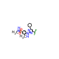 CNS(=O)(=O)c1ccc(Nc2nc(C(F)F)cc(C3CCCCC3)n2)c(C)c1